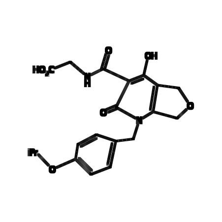 CC(C)Oc1ccc(Cn2c3c(c(O)c(C(=O)NCC(=O)O)c2=O)COC3)cc1